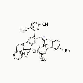 C[n+]1ccc(C#N)cc1-c1cc2c(cc1/C=C1/Cc3ccc(C(C)(C)C)cc3-c3cc(C(C)(C)C)cc[n+]31)C(C)(C)c1c-2ccc2ccccc12